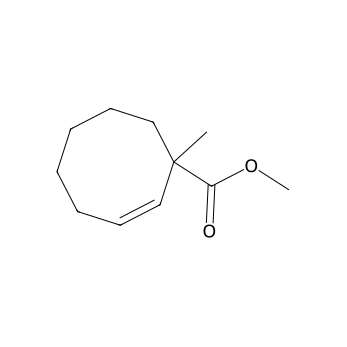 COC(=O)C1(C)C=CCCCCC1